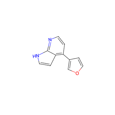 c1cc(-c2ccoc2)c2cc[nH]c2n1